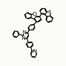 c1ccc(-c2nc(-c3ccc(-c4ccccn4)cc3)cc(-c3ccc(-c4ccc(-c5cccc6sc7ccccc7c56)c5oc6ccccc6c45)cc3)n2)cc1